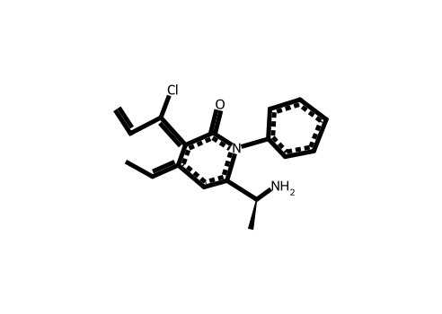 C=C/C(Cl)=c1/c(=O)n(-c2ccccc2)c([C@H](C)N)c/c1=C/C